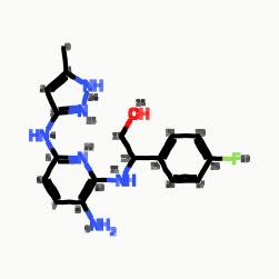 Cc1cc(Nc2ccc(N)c(NC(CO)c3ccc(F)cc3)n2)n[nH]1